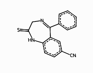 N#Cc1ccc2c(c1)C(c1ccccc1)=NCC(=S)N2